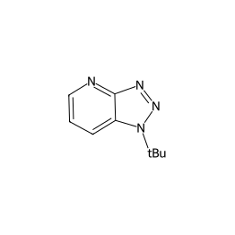 CC(C)(C)n1nnc2ncccc21